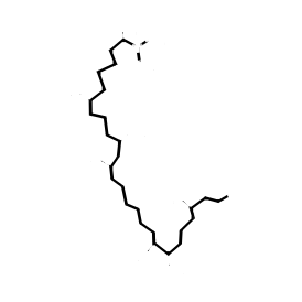 CC(C)CC[C@H](C)CCC[C@H](C)[C@@H](C)CCCCCC[C@@H](C)C[C@@H](C)CCC[C@H](C)CCCC[C@H](C)N(C)C